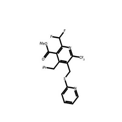 COC(=O)c1c(C(F)F)nc(C(F)(F)F)c(CSc2ccccn2)c1CC(C)C